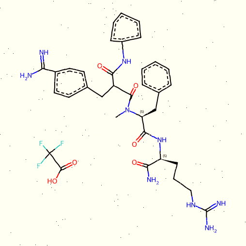 CN(C(=O)C(Cc1ccc(C(=N)N)cc1)C(=O)Nc1ccccc1)[C@@H](Cc1ccccc1)C(=O)N[C@@H](CCCNC(=N)N)C(N)=O.O=C(O)C(F)(F)F